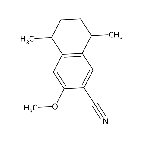 COc1cc2c(cc1C#N)C(C)CCC2C